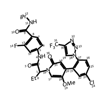 CCC(C(=O)Nc1ccc(C(=O)NC(C)C)c(F)c1)n1cc(OC)c(-c2cc(Cl)ccc2-n2cc(C(F)(F)F)nn2)cc1=O